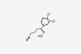 N#CCCCC(=NO)c1ccc(Cl)c(Cl)c1